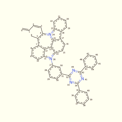 C=C/C=C\c1c(C)c2cccc3c2c2c(ccc4c5ccccc5n1c42)n3-c1cccc(-c2nc(-c3ccccc3)nc(-c3ccccc3)n2)c1